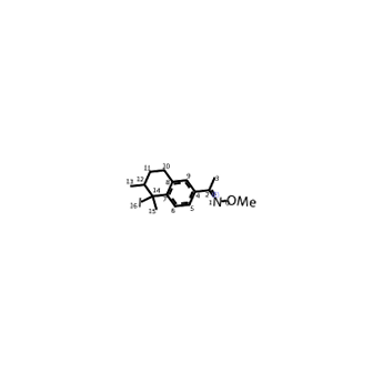 CO/N=C(\C)c1ccc2c(c1)CCC(C)C2(C)I